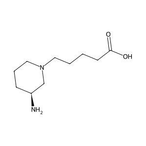 N[C@H]1CCCN(CCCCC(=O)O)C1